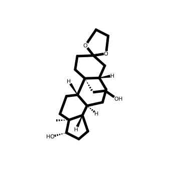 C[C@]12CC[C@H]3[C@@H](CC[C@H]4CC5(CC[C@@]43CCO)OCCO5)[C@@H]1CC[C@@H]2O